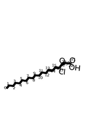 CCCCCCCCCCCCCC=CC=C(Cl)C1=C(C(=O)O)O1